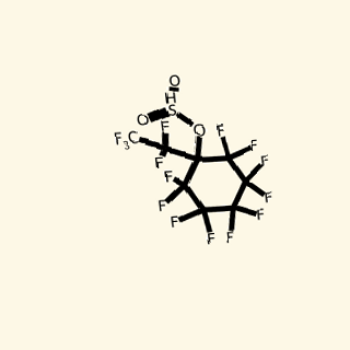 O=[SH](=O)OC1(C(F)(F)C(F)(F)F)C(F)(F)C(F)(F)C(F)(F)C(F)(F)C1(F)F